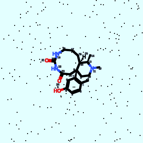 Cc1ccc(O)cc1[C@]12CCN(C)[C@H](C)[C@@H]1CCCNC(=O)NC(=O)C2